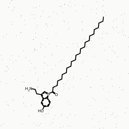 CCCCCCCCCCCCCCCCCCCCCCCC(=O)n1cc(CCN)c2cc(O)ccc21